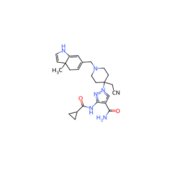 CC12C=CNC1=CC(CN1CCC(CC#N)(n3cc(C(N)=O)c(NC(=O)C4CC4)n3)CC1)=CC2